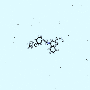 CC(C)(C)[Si](C)(C)Oc1cccc(O/N=C(\CC(N)=O)c2ccccc2)c1